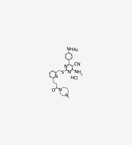 CC(=O)Nc1ccc(-c2nc(SCc3cccc(CCC(=O)N4CCCN(C)CC4)n3)nc(N)c2C#N)cc1.Cl